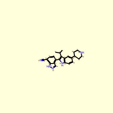 CC(C)c1c(-c2ccc(C#N)c3[nH]ncc23)[nH]c2ccc(C3CCNCC3)cc12